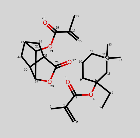 C=C(C)C(=O)OC1(CC)CCC[Si](C)(C)C1.C=C(C)C(=O)OC1C2CC3C(=O)OC1C3C2